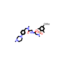 COc1cc(C)c(S(=O)(=O)N(C)CC(=O)NCC(=O)N(C)Cc2ccc(N3CCCN(C)CC3)cc2)c(C)c1